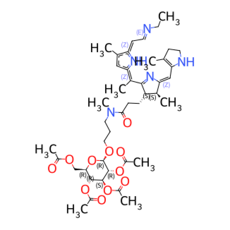 CC/N=C/C=c1\[nH]/c(=C(/C)C2=N/C(=C\C3=C(C)CCN3)[C@@H](C)[C@@H]2CCC(=O)N(C)CCCO[C@@H]2O[C@H](COC(C)=O)[C@@H](OC(C)=O)[C@H](OC(C)=O)[C@H]2OC(C)=O)cc1C